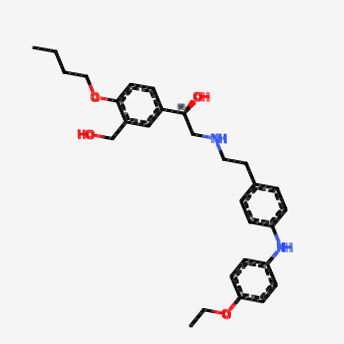 CCCCOc1ccc([C@@H](O)CNCCc2ccc(Nc3ccc(OCC)cc3)cc2)cc1CO